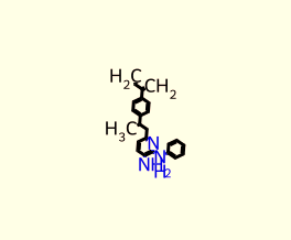 C=CC(=C)c1ccc(C(C)Cc2ccc(N)c(Nc3ccccc3)n2)cc1